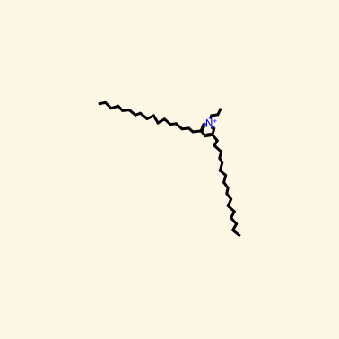 CCCCCCCCCCCCCCCCCc1cc(CCCCCCCCCCCCCCCCC)c[n+](CCC)c1